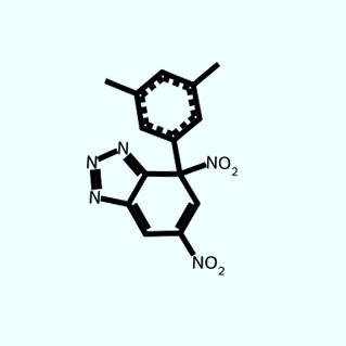 Cc1cc(C)cc(C2([N+](=O)[O-])C=C([N+](=O)[O-])C=C3N=NN=C32)c1